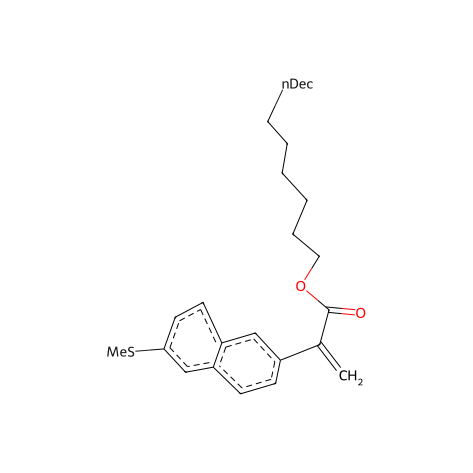 C=C(C(=O)OCCCCCCCCCCCCCCCC)c1ccc2cc(SC)ccc2c1